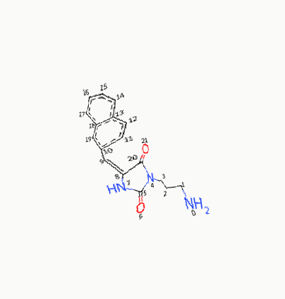 NCCCN1C(=O)N/C(=C/c2ccc3ccccc3c2)C1=O